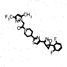 Cc1cc(C(F)(F)F)nn1CC(=O)N1CCC(c2nc(C3=NOC4(c5c(F)cccc5F)CC34)cs2)CC1